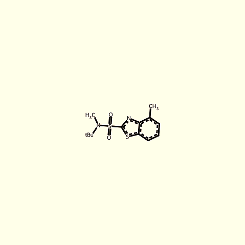 Cc1cccc2sc(S(=O)(=O)N(C)C(C)(C)C)nc12